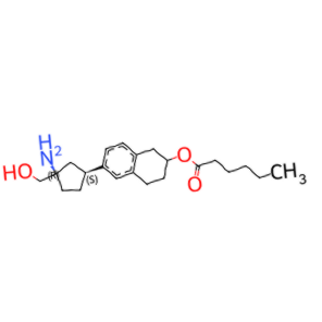 CCCCCC(=O)OC1CCc2cc([C@H]3CC[C@](N)(CO)C3)ccc2C1